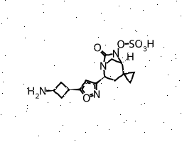 N[C@H]1C[C@@H](c2cc([C@@H]3CC4(CC4)[C@H]4CN3C(=O)N4OS(=O)(=O)O)no2)C1